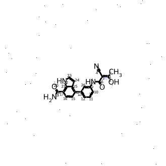 C/C(O)=C(\C#N)C(=O)Nc1cccc(-c2ccc(C(N)=O)c3[nH]ccc23)c1